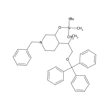 CC(COC(c1ccccc1)(c1ccccc1)c1ccccc1)C1CCN(Cc2ccccc2)CC1O[Si](C)(C)C(C)(C)C